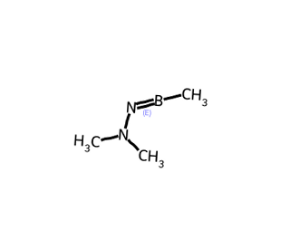 C/B=N/N(C)C